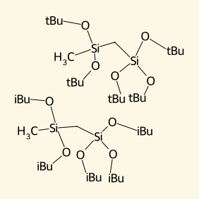 CC(C)(C)O[Si](C)(C[Si](OC(C)(C)C)(OC(C)(C)C)OC(C)(C)C)OC(C)(C)C.CCC(C)O[Si](C)(C[Si](OC(C)CC)(OC(C)CC)OC(C)CC)OC(C)CC